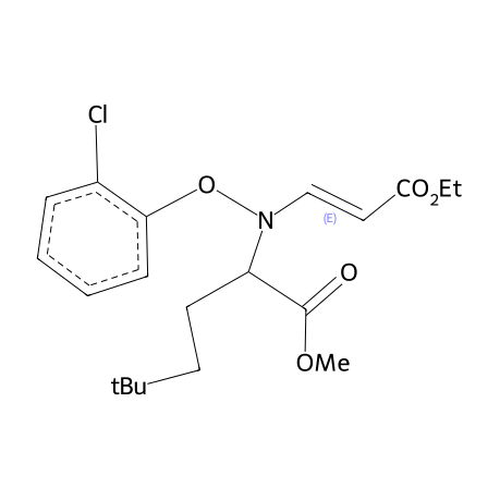 CCOC(=O)/C=C/N(Oc1ccccc1Cl)C(CCC(C)(C)C)C(=O)OC